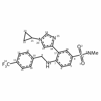 CNS(=O)(=O)c1ccc(NCc2ccc(C(F)(F)F)cc2)c(-c2cn(C3CC3)cn2)c1